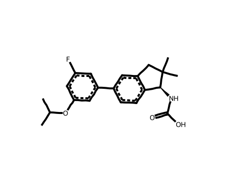 CC(C)Oc1cc(F)cc(-c2ccc3c(c2)CC(C)(C)[C@H]3NC(=O)O)c1